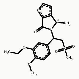 CCOc1cc(C(CS(C)(=O)=O)N2C(=O)c3sccc3[C@H]2N)ccc1OC